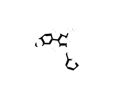 CNc1nc(SCc2ccccn2)c(C#N)c(-c2ccc3c(c2)OCO3)c1C#N